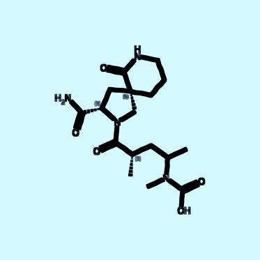 CC(C[C@H](C)C(=O)N1C[C@]2(CCCNC2=O)C[C@H]1C(N)=O)N(C)C(=O)O